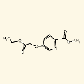 CCOC(=O)COc1ccc(C(=O)OC)nc1